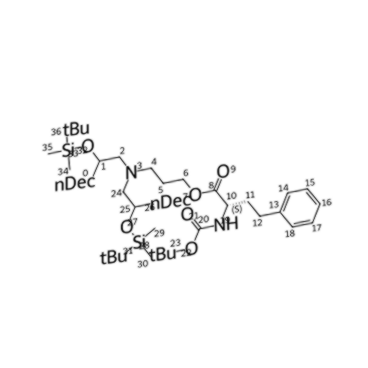 CCCCCCCCCCC(CN(CCCOC(=O)[C@H](CCc1ccccc1)NC(=O)OC(C)(C)C)CC(CCCCCCCCCC)O[Si](C)(C)C(C)(C)C)O[Si](C)(C)C(C)(C)C